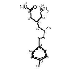 C[C@H](CCc1ccc(F)cc1)C[C@H](CN)CC(=O)O